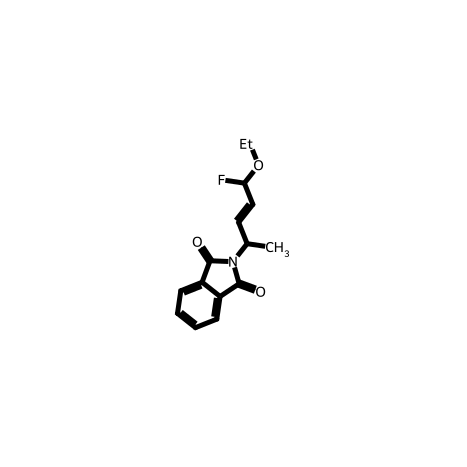 CCOC(F)C=CC(C)N1C(=O)c2ccccc2C1=O